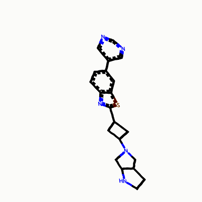 c1ncc(-c2ccc3nc(C4CC(N5CC6CCNC6C5)C4)sc3c2)cn1